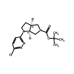 CC(C)(C)OC(=O)N1C[C@@H]2CCN(c3ccc(Cl)nn3)[C@@H]2C1